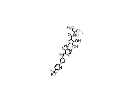 CC[C@@H](C)NC(=O)C1CC(n2cnc3c(N[C@H]4CCN(c5ccc(C(F)(F)F)cn5)C4)ncnc32)C(O)C1O